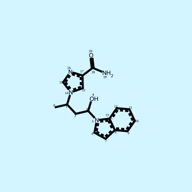 CC(CC(O)n1ccc2ccccc21)n1cnc(C(N)=O)c1